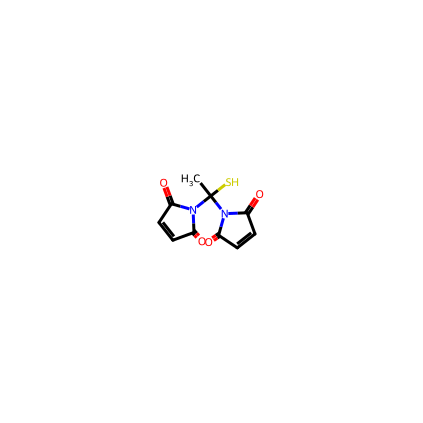 CC(S)(N1C(=O)C=CC1=O)N1C(=O)C=CC1=O